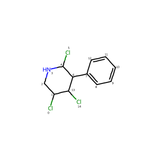 ClC1CNC(Cl)C(c2ccccc2)C1Cl